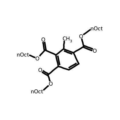 CCCCCCCCOC(=O)c1ccc(C(=O)OCCCCCCCC)c(C(=O)OCCCCCCCC)c1C